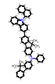 CC1(C)c2ccccc2-c2ccc(N(c3ccccc3)c3ccc4c(c3)C(C)(C)c3cc(-c5ccc6c(c5)c5ccccc5n6-c5cccc6ccccc56)ccc3-4)cc21